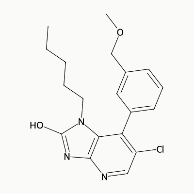 CCCCCn1c(O)nc2ncc(Cl)c(-c3cccc(COC)c3)c21